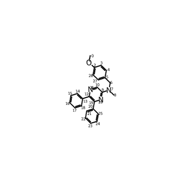 COc1ccc(CN(C)c2cnc(-c3ccccc3)c(-c3ccccc3)n2)cc1